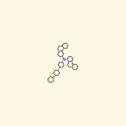 c1ccc2c(c1)ccc1ccc(N(c3ccc(-c4ccc5c(c4)sc4ccccc45)cc3)c3cccc4c3ccc3ccccc34)cc12